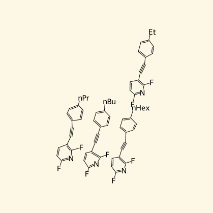 CCCCCCc1ccc(C#Cc2ccc(F)nc2F)cc1.CCCCc1ccc(C#Cc2ccc(F)nc2F)cc1.CCCc1ccc(C#Cc2ccc(F)nc2F)cc1.CCc1ccc(C#Cc2ccc(F)nc2F)cc1